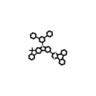 CC1(C)c2ccccc2-c2cc3c4cc(-c5cnc6c7ccccc7c7ccccc7c6n5)ccc4n(-c4cc(-c5ccccc5)cc(-c5ccccc5)c4)c3cc21